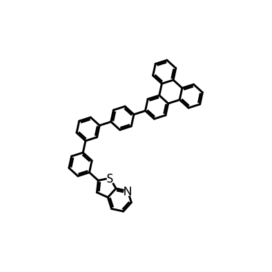 c1cc(-c2ccc(-c3ccc4c5ccccc5c5ccccc5c4c3)cc2)cc(-c2cccc(-c3cc4cccnc4s3)c2)c1